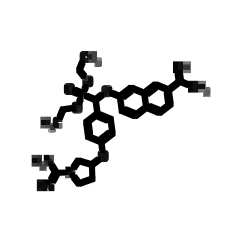 CCOP(=O)(OCC)C(Oc1ccc2ccc(C(=N)N)cc2c1)c1ccc(OC2CCN(C(=N)N)C2)cc1